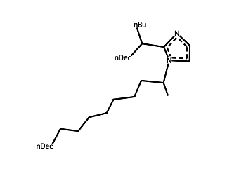 CCCCCCCCCCCCCCCCCC(C)n1ccnc1C(CCCC)CCCCCCCCCC